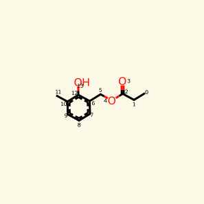 CCC(=O)OCc1cccc(C)c1O